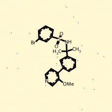 COc1cnccc1-c1cccc(C(C)(C)NS(=O)(=O)c2cccc(Br)c2)c1